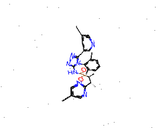 Cc1cnc([C@@H](C)[C@H](C)S(=O)(=O)Nc2nnc(-c3cncc(C)c3)n2-c2c(C)cccc2C)nc1